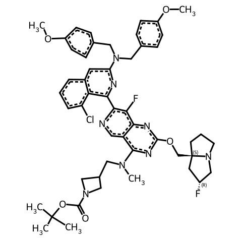 COc1ccc(CN(Cc2ccc(OC)cc2)c2cc3cccc(Cl)c3c(-c3ncc4c(N(C)CC5CN(C(=O)OC(C)(C)C)C5)nc(OC[C@@]56CCCN5C[C@H](F)C6)nc4c3F)n2)cc1